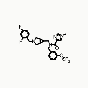 Cn1cnc(C(=O)N(Cc2cccc(OC(F)(F)F)c2)CC2C3CN(Cc4ccc(F)cc4F)CC32)c1